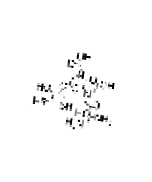 NCCN.O=C(O)CN(CCN(CC(=O)O)CC(=O)O[C@H](CS)[C@H](O)CS)CC(=O)O